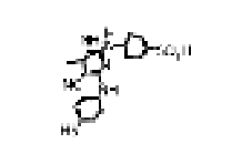 Cc1c(N)c(Nc2ccc(S(=O)(=O)O)cc2)nc(Nc2ccc(S)cc2)c1C#N